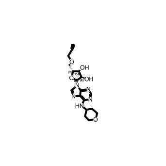 C#CCOC[C@H]1O[C@@H](n2cnc3c(NC4CCOCC4)ncnc32)[C@H](O)[C@@H]1O